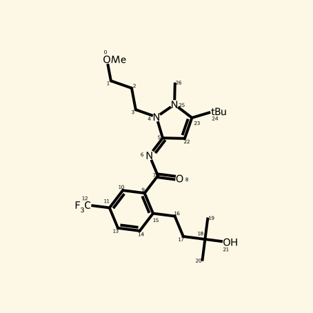 COCCCn1/c(=N/C(=O)c2cc(C(F)(F)F)ccc2CCC(C)(C)O)cc(C(C)(C)C)n1C